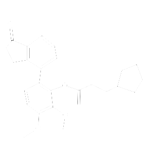 COc1ccc(-c2cccc3c2CCC3=O)c(OC(=O)CCC2CCCC2)c1OC